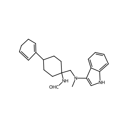 CN(CC1(NC=O)CCC(C2=CCCC=C2)CC1)c1c[nH]c2ccccc12